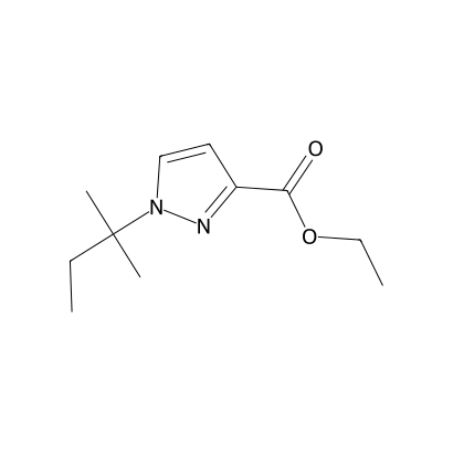 CCOC(=O)c1ccn(C(C)(C)CC)n1